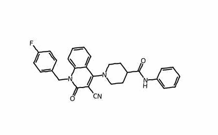 N#Cc1c(N2CCC(C(=O)Nc3ccccc3)CC2)c2ccccc2n(Cc2ccc(F)cc2)c1=O